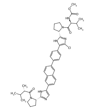 COC(=O)N[C@H](C(=O)N1CCC[C@H]1c1nc(Cl)c(-c2ccc(-c3ccc4cc(-c5cnc([C@@H]6CCCN6C(=O)[C@@H](C)C(C)C)[nH]5)ccc4c3)cc2)[nH]1)C(C)C